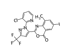 Cc1cc(I)cc2c(=O)oc(-c3cc(C(F)(F)F)nn3-c3ncccc3Cl)nc12